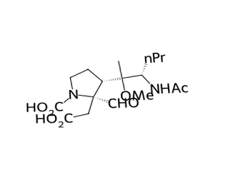 CCC[C@H](NC(C)=O)C(C)(OC)[C@H]1CCN(C(=O)O)[C@]1(C=O)CC(=O)O